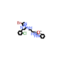 Cc1ccccc1NC(=O)NCCCCNc1cc(-c2ccccc2Cl)nc2c(Br)cnn12